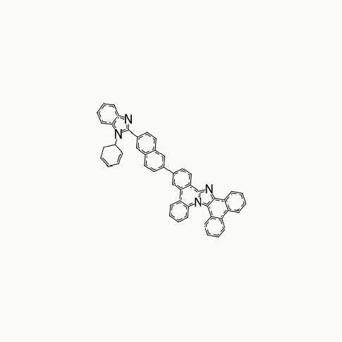 C1=CCC(n2c(-c3ccc4cc(-c5ccc6c(c5)c5ccccc5n5c6nc6c7ccccc7c7ccccc7c65)ccc4c3)nc3ccccc32)C=C1